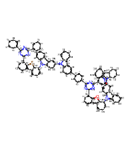 c1ccc(-c2nc(-c3ccc(-c4ccc5c(c4)c4ccccc4n5-c4ccc5c(c4)c4ccccc4n5-c4cccc5c4sc4c(-c6nc(-c7ccccc7)nc(-c7ccccc7)n6)cccc45)cc3)nc(-c3cccc4c3oc3c(-n5c6ccccc6c6cc(-n7c8ccccc8c8ccccc87)ccc65)cccc34)n2)cc1